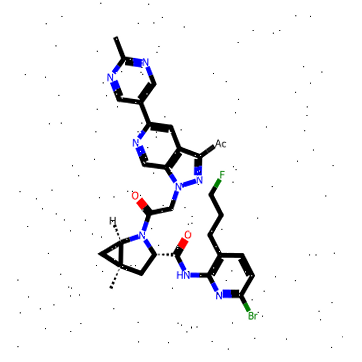 CC(=O)c1nn(CC(=O)N2[C@H](C(=O)Nc3nc(Br)ccc3CCCF)C[C@@]3(C)C[C@@H]23)c2cnc(-c3cnc(C)nc3)cc12